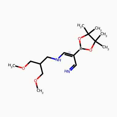 COCC(CN/C=C(\C=N)B1OC(C)(C)C(C)(C)O1)COC